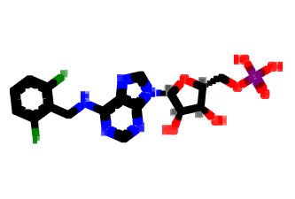 O=P(O)(O)OC[C@H]1O[C@@H](n2cnc3c(NCc4c(F)cccc4F)ncnc32)[C@H](O)[C@@H]1O